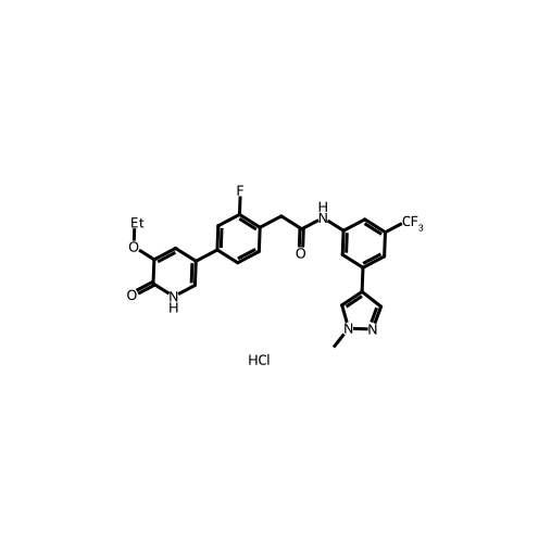 CCOc1cc(-c2ccc(CC(=O)Nc3cc(-c4cnn(C)c4)cc(C(F)(F)F)c3)c(F)c2)c[nH]c1=O.Cl